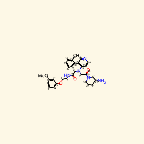 COc1cccc(OCCNC(=O)CN(CC(=O)N2CCCC(N)C2)c2ccncc2-c2ccccc2C)c1